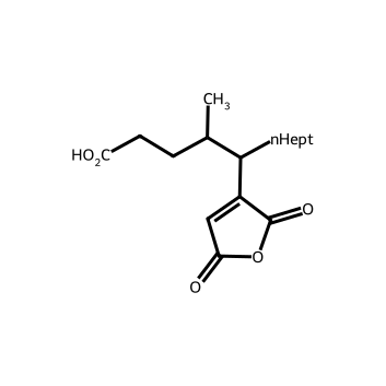 CCCCCCCC(C1=CC(=O)OC1=O)C(C)CCC(=O)O